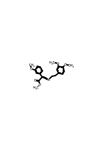 COC(=O)C(=C=NCCc1ccc(OC)c(OC)c1)c1cccc(OC)c1